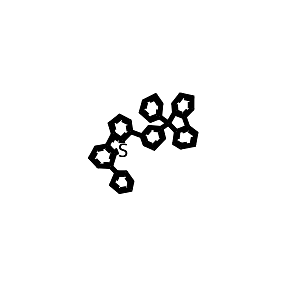 c1ccc(-c2cccc3c2sc2c(-c4cccc(C5(c6ccccc6)c6ccccc6-c6ccccc65)c4)cccc23)cc1